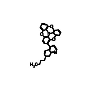 CCCCc1ccc2c(-c3ccc4c5c3Oc3cccc6c3B5c3c(cccc3O4)O6)ccnc2c1